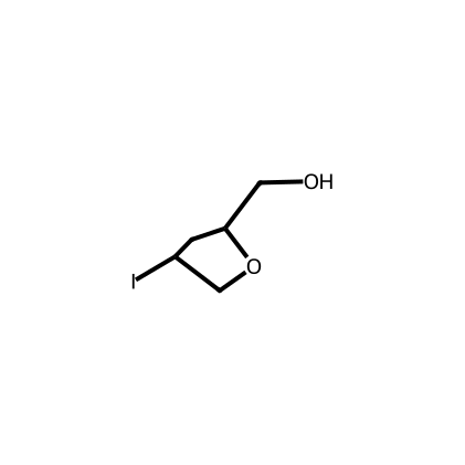 OCC1CC(I)CO1